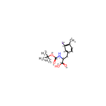 Cc1ccc(CC(NC(=O)OC(C)(C)C)C(=O)O)cc1I